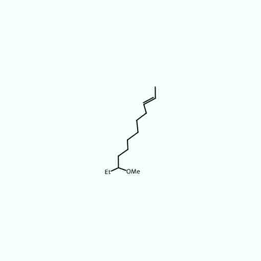 CC=CCCCCCCC(CC)OC